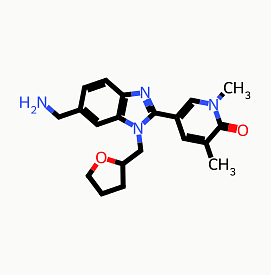 Cc1cc(-c2nc3ccc(CN)cc3n2CC2CCCO2)cn(C)c1=O